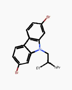 CCCC(CC)Cn1c2cc(Br)ccc2c2ccc(Br)cc21